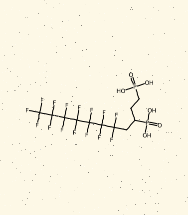 O=P(O)(O)CCC(CC(F)(F)C(F)(F)C(F)(F)C(F)(F)C(F)(F)C(F)(F)C(F)(F)F)P(=O)(O)O